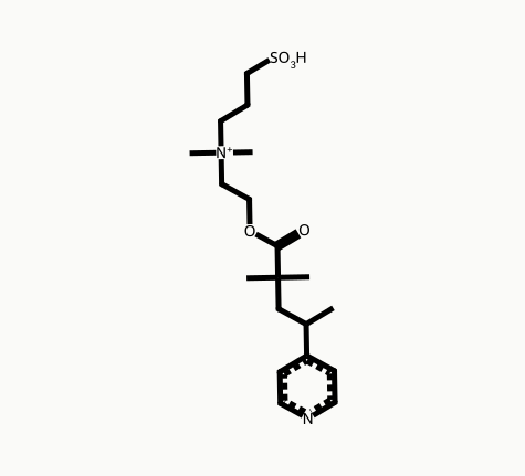 CC(CC(C)(C)C(=O)OCC[N+](C)(C)CCCS(=O)(=O)O)c1ccncc1